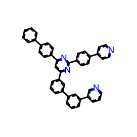 c1ccc(-c2ccc(-c3cc(-c4cccc(-c5cccc(-c6cccnc6)c5)c4)nc(-c4ccc(-c5ccncc5)cc4)n3)cc2)cc1